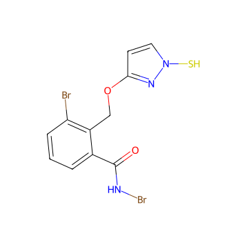 O=C(NBr)c1cccc(Br)c1COc1ccn(S)n1